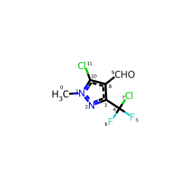 Cn1nc(C(F)(F)Cl)c(C=O)c1Cl